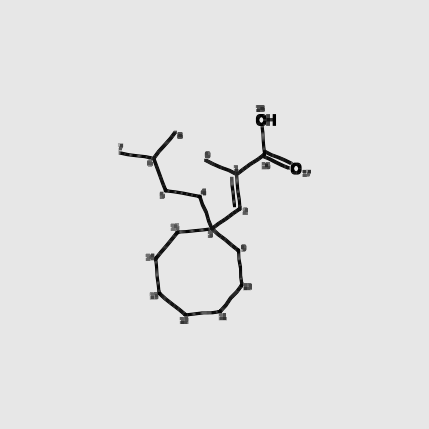 CC(=CC1(CCC(C)C)CCCCCCC1)C(=O)O